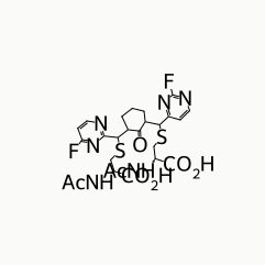 CC(=O)N[C@@H](CSC(c1ccnc(F)n1)C1CCCC(C(SC[C@H](NC(C)=O)C(=O)O)c2nccc(F)n2)C1=O)C(=O)O